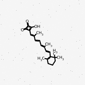 CC1=C(/C=C/C(C)=C/C=C/C(C)=C/c2c(O)c(=O)c2=O)C(C)(C)CCC1